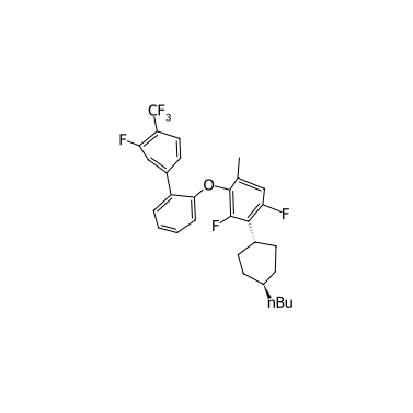 CCCC[C@H]1CC[C@H](c2c(F)cc(C)c(Oc3ccccc3-c3ccc(C(F)(F)F)c(F)c3)c2F)CC1